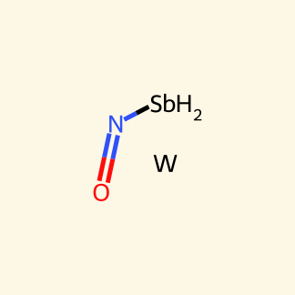 O=[N][SbH2].[W]